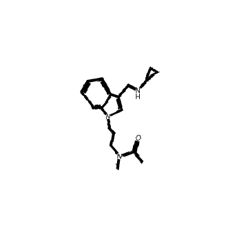 CC(=O)N(C)CCCn1cc(CNC2CC2)c2ccccc21